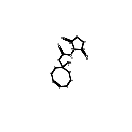 O=C(CC1(O)CC/C=C\CCC1)ON1C(=O)CCC1=O